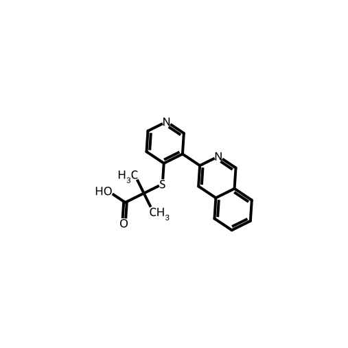 CC(C)(Sc1ccncc1-c1cc2ccccc2cn1)C(=O)O